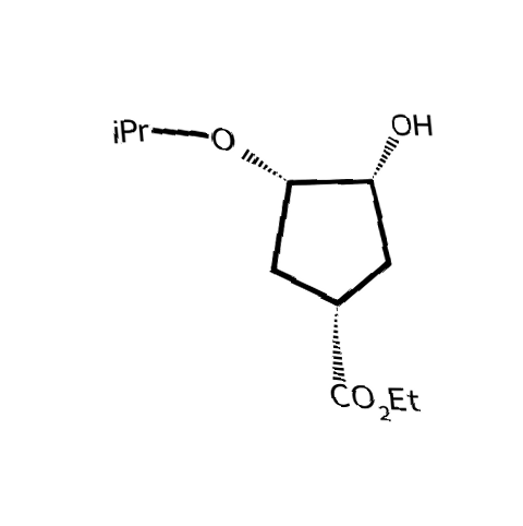 CCOC(=O)[C@H]1C[C@@H](O)[C@@H](OC(C)C)C1